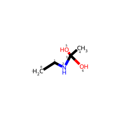 [CH2]CNC(C)(O)O